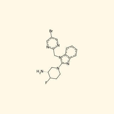 N[C@@H]1CN(c2nc3ccccc3n2Cc2ncc(Br)cn2)CCC1F